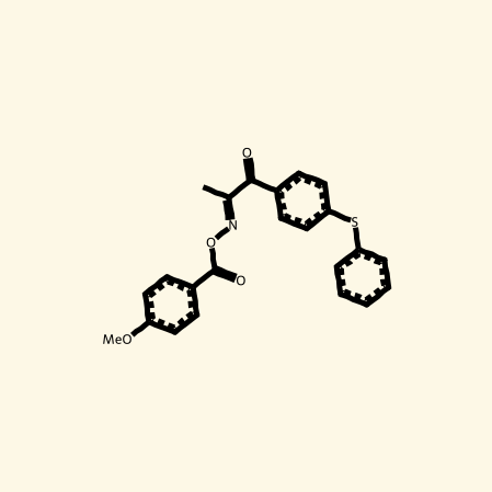 COc1ccc(C(=O)O/N=C(\C)C(=O)c2ccc(Sc3ccccc3)cc2)cc1